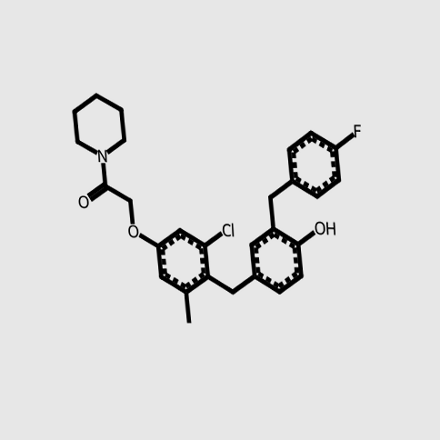 Cc1cc(OCC(=O)N2CCCCC2)cc(Cl)c1Cc1ccc(O)c(Cc2ccc(F)cc2)c1